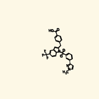 Cn1ccc(-c2cccc(S(=O)(=O)n3c(Cc4ccc(C(=O)O)cc4)cc4cc(C(F)(F)F)ccc43)c2)n1